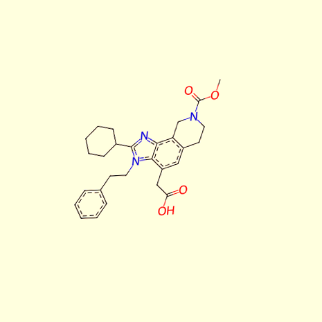 COC(=O)N1CCc2cc(CC(=O)O)c3c(nc(C4CCCCC4)n3CCc3ccccc3)c2C1